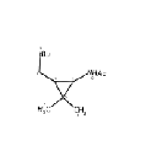 CC(=O)NC1C(CC(C)(C)C)C1(C)C